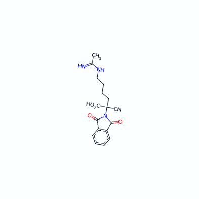 CC(=N)NCCCCC(C#N)(C(=O)O)N1C(=O)c2ccccc2C1=O